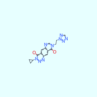 O=c1c2cc3nnn(C4CC4)c(=O)c3cc2ncn1CCn1ncnn1